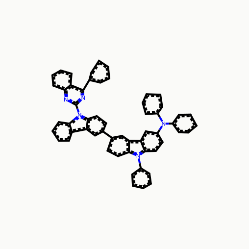 c1ccc(-c2nc(-n3c4ccccc4c4cc(-c5ccc6c(c5)c5cc(N(c7ccccc7)c7ccccc7)ccc5n6-c5ccccc5)ccc43)nc3ccccc23)cc1